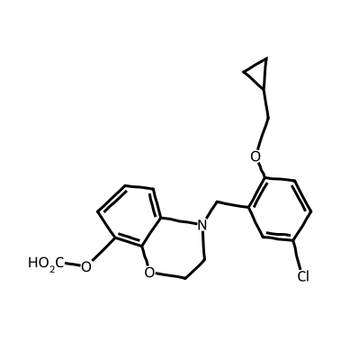 O=C(O)Oc1cccc2c1OCCN2Cc1cc(Cl)ccc1OCC1CC1